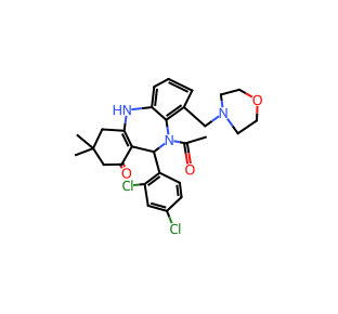 CC(=O)N1c2c(CN3CCOCC3)cccc2NC2=C(C(=O)CC(C)(C)C2)C1c1ccc(Cl)cc1Cl